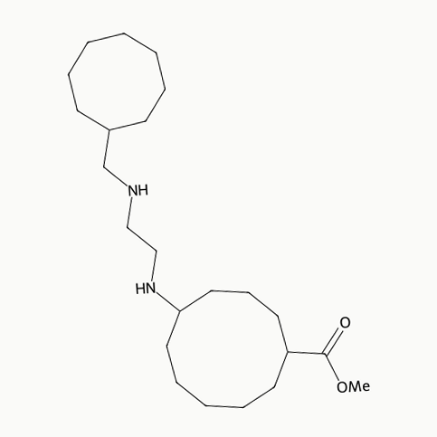 COC(=O)C1CCCCCC(NCCNCC2CCCCCCC2)CCC1